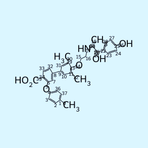 Cc1ccc(Oc2cc(-c3cc(C)c(OCCN[C@H](C)[C@H](O)c4ccc(O)cc4)c(C)c3)ccc2C(=O)O)cc1